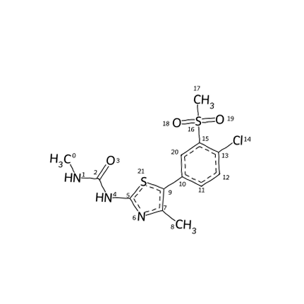 CNC(=O)Nc1nc(C)c(-c2ccc(Cl)c(S(C)(=O)=O)c2)s1